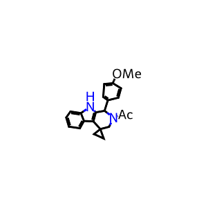 COc1ccc(C2c3[nH]c4ccccc4c3C3(CC3)CN2C(C)=O)cc1